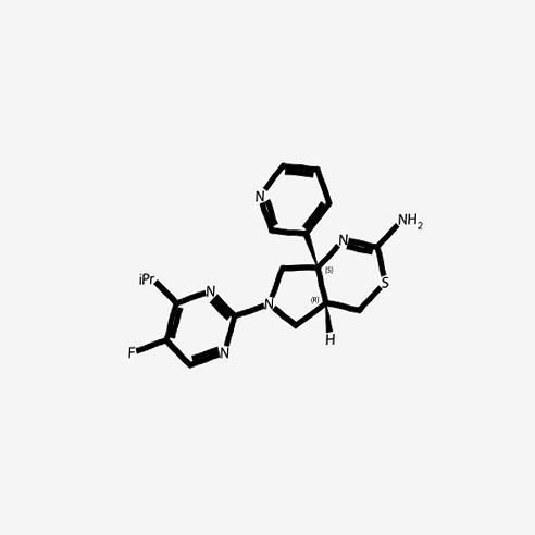 CC(C)c1nc(N2C[C@H]3CSC(N)=N[C@@]3(c3cccnc3)C2)ncc1F